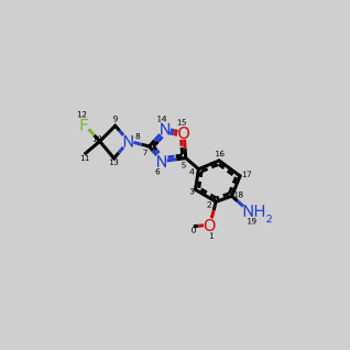 COc1cc(-c2nc(N3CC(C)(F)C3)no2)ccc1N